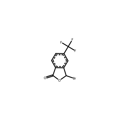 O=C1OC(Br)c2cc(C(F)(F)F)ccc21